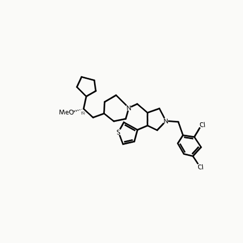 CO[C@@H](CC1CCN(CC2CN(Cc3ccc(Cl)cc3Cl)CC2c2ccsc2)CC1)C1CCCC1